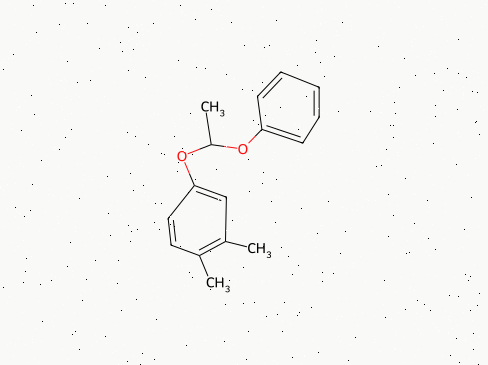 Cc1ccc(OC(C)Oc2ccccc2)cc1C